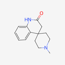 CN1CCC2(CC1)CC(=O)Nc1ccccc12